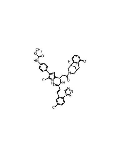 COC(=O)Nc1ccc(-c2nc(C(CC(=O)N3CC4C[C@@H](C3)c3cccc(=O)n3C4)NC(=O)/C=C/c3cc(Cl)ccc3-n3cnnn3)[nH]c2Cl)cc1